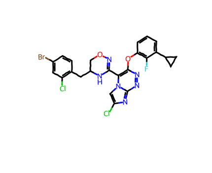 Fc1c(Oc2nnc3nc(Cl)cn3c2C2=NOCC(Cc3ccc(Br)cc3Cl)N2)cccc1C1CC1